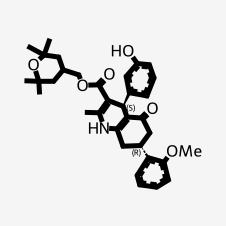 COc1ccccc1[C@H]1CC(=O)C2=C(C1)NC(C)=C(C(=O)OCC1CC(C)(C)OC(C)(C)C1)[C@H]2c1cccc(O)c1